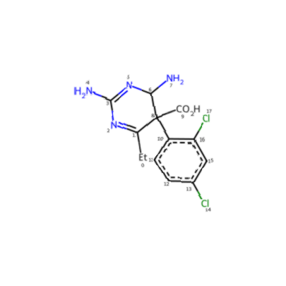 CCC1=NC(N)=NC(N)C1(C(=O)O)c1ccc(Cl)cc1Cl